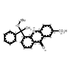 CC(C)(C)OC(C)(c1ccccc1)c1cccc2c(=O)c3cc(C(=O)O)ccc3oc12